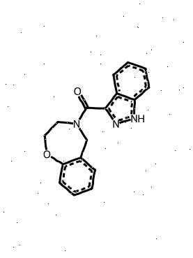 O=C(c1n[nH]c2ccccc12)N1CCOc2ccccc2C1